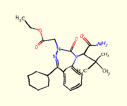 CCOC(=O)CN1N=C(C2CCCCC2)c2ccccc2N(C(C(N)=O)C(C)(C)C)C1=O